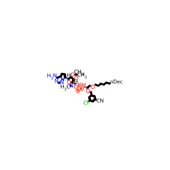 C=N[C@]1(COP(=O)(O)OC[C@H](COCCCCCCCCCCCCCCCC)OCc2cc(Cl)cc(C#N)c2)O[C@@H](c2ccc3c(N)ncnn23)[C@@H]2OC(C)(C)O[C@@H]21